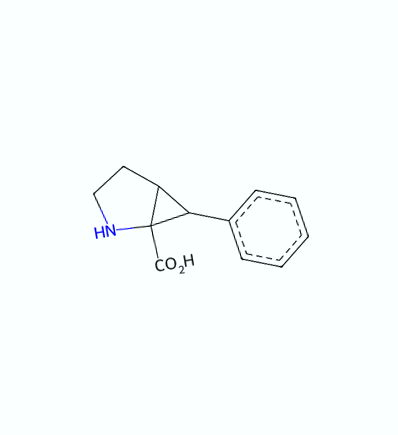 O=C(O)C12NCCC1C2c1ccccc1